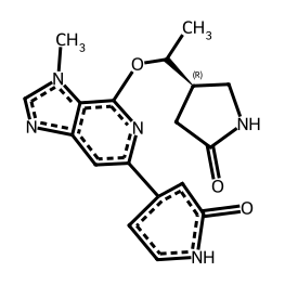 CC(Oc1nc(-c2cc[nH]c(=O)c2)cc2ncn(C)c12)[C@H]1CNC(=O)C1